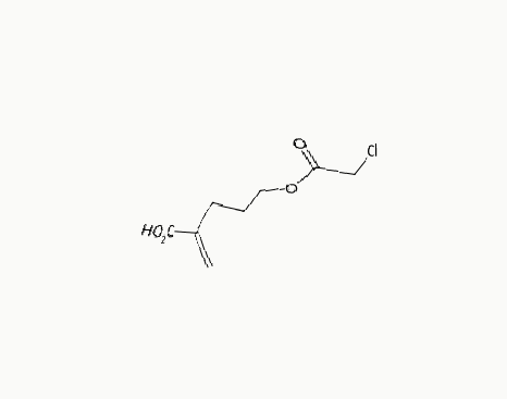 C=C(CCCOC(=O)CCl)C(=O)O